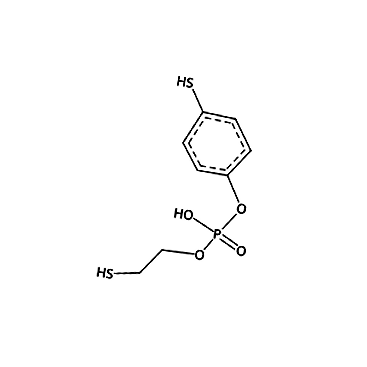 O=P(O)(OCCS)Oc1ccc(S)cc1